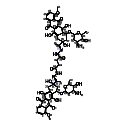 COc1cccc2c1C(=O)c1c(O)c3c(c(O)c1C2=O)CC(O)(/C(C)=N/NC(=O)CCC(=O)N/N=C(\C)C1(O)Cc2c(O)c4c(c(O)c2C(OC2CC(N)C(O)C(C)O2)C1)C(=O)c1c(OC)cccc1C4=O)CC3OC1CC(N)C(O)C(C)O1